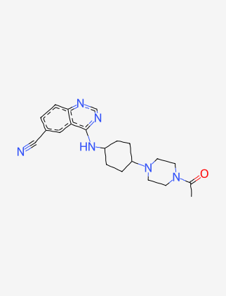 CC(=O)N1CCN(C2CCC(Nc3ncnc4ccc(C#N)cc34)CC2)CC1